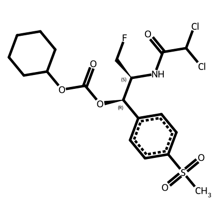 CS(=O)(=O)c1ccc([C@@H](OC(=O)OC2CCCCC2)[C@@H](CF)NC(=O)C(Cl)Cl)cc1